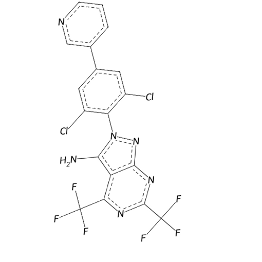 Nc1c2c(C(F)(F)F)nc(C(F)(F)F)nc2nn1-c1c(Cl)cc(-c2cccnc2)cc1Cl